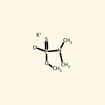 COP([O-])(=S)N(C)C.[K+]